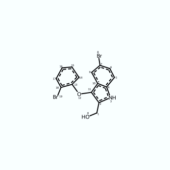 OCc1[nH]c2ccc(Br)cc2c1Oc1ccccc1Br